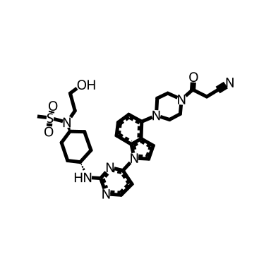 CS(=O)(=O)N(CCO)[C@H]1CC[C@H](Nc2nccc(-n3ccc4c(N5CCN(C(=O)CC#N)CC5)cccc43)n2)CC1